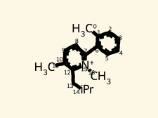 Cc1ccccc1-c1ccc(C)c(CC(C)C)[n+]1C